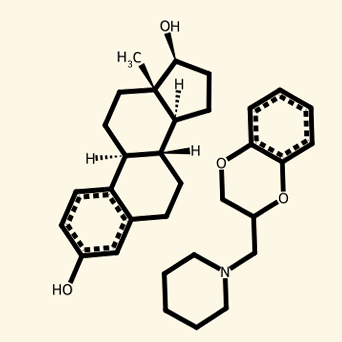 C[C@]12CC[C@@H]3c4ccc(O)cc4CC[C@H]3[C@@H]1CC[C@@H]2O.c1ccc2c(c1)OCC(CN1CCCCC1)O2